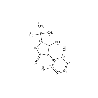 CC(C)(C)N1NC(=O)C(c2c(Cl)cccc2Cl)C1N